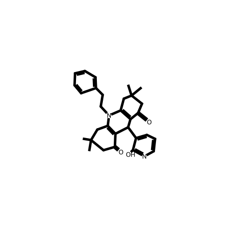 CC1(C)CC(=O)C2=C(C1)N(CCc1ccccc1)C1=C(C(=O)CC(C)(C)C1)C2c1cccnc1O